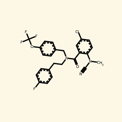 CN(C#N)c1ccc(Cl)cc1C(=O)N(CCc1ccc(F)cc1)Cc1ccc(OC(F)(F)F)cc1